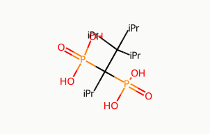 CC(C)C(C(C)C)(C(C)C)C(C(C)C)(P(=O)(O)O)P(=O)(O)O